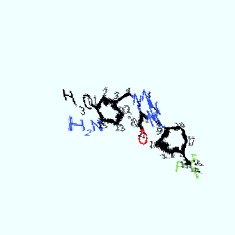 Cc1cc(CN2N=NN(c3ccc(C(F)(F)F)cc3)C2C=O)ccc1N